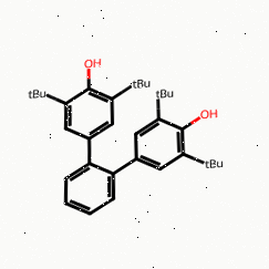 CC(C)(C)c1cc(-c2ccccc2-c2cc(C(C)(C)C)c(O)c(C(C)(C)C)c2)cc(C(C)(C)C)c1O